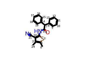 Cc1sc(NC(=O)C(c2ccccc2)c2ccccc2)c(C#N)c1C